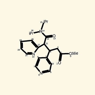 COC(=O)CC(c1ccncc1)C(C(=O)N(C(C)C)C(C)C)c1ccccn1